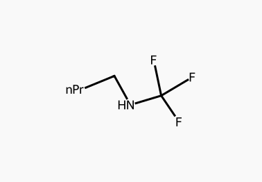 CCCCNC(F)(F)F